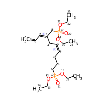 C=C/C=C(\C/C=C\CCCP(=O)(OCC)OCC)CP(=O)(OCC)OCC